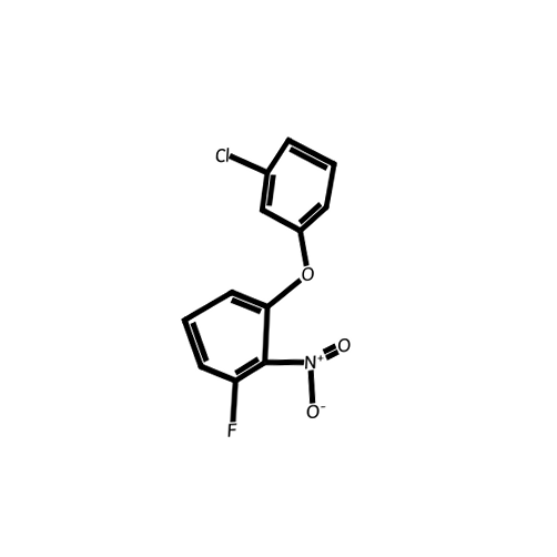 O=[N+]([O-])c1c(F)cccc1Oc1cccc(Cl)c1